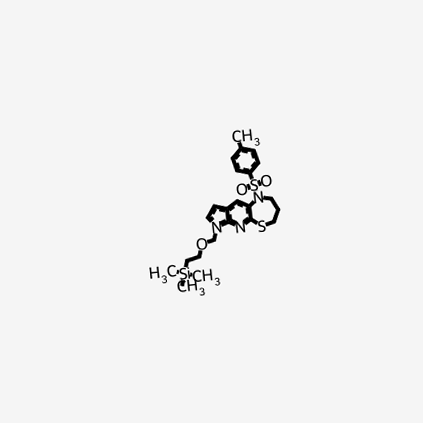 Cc1ccc(S(=O)(=O)N2CCCSc3nc4c(ccn4COCC[Si](C)(C)C)cc32)cc1